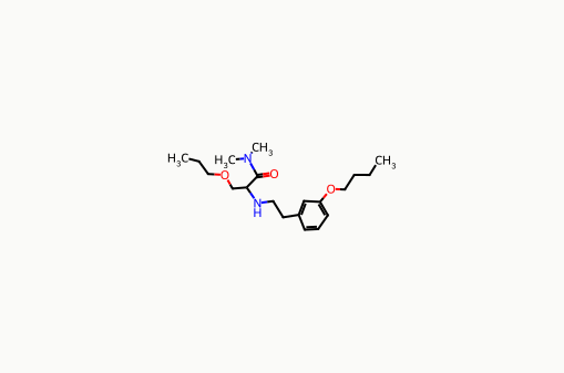 CCCCOc1cccc(CCNC(COCCC)C(=O)N(C)C)c1